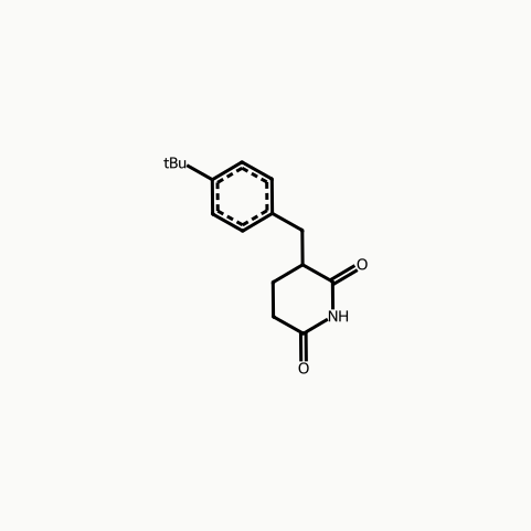 CC(C)(C)c1ccc(CC2CCC(=O)NC2=O)cc1